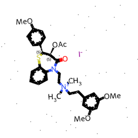 COc1ccc([C@@H]2Sc3ccccc3N(CC[N+](C)(C)CCc3cc(OC)cc(OC)c3)C(=O)[C@@H]2OC(C)=O)cc1.[I-]